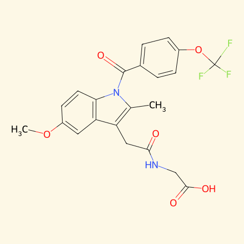 COc1ccc2c(c1)c(CC(=O)NCC(=O)O)c(C)n2C(=O)c1ccc(OC(F)(F)F)cc1